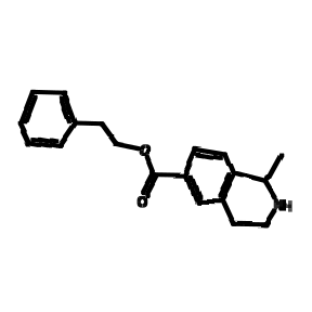 CC1NCCc2cc(C(=O)OCCc3ccccc3)ccc21